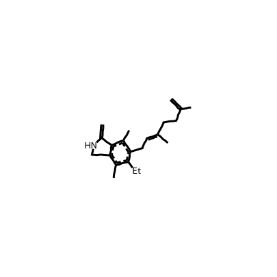 C=C(C)CC/C(C)=C/Cc1c(C)c2c(c(C)c1CC)CNC2=C